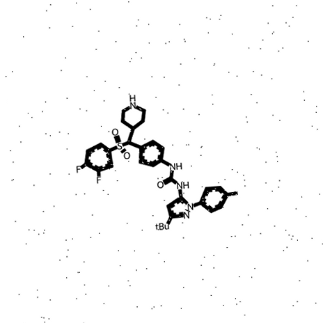 Cc1ccc(-n2nc(C(C)(C)C)cc2NC(=O)Nc2ccc(C(C3CCNCC3)S(=O)(=O)c3ccc(F)c(F)c3)cc2)cc1